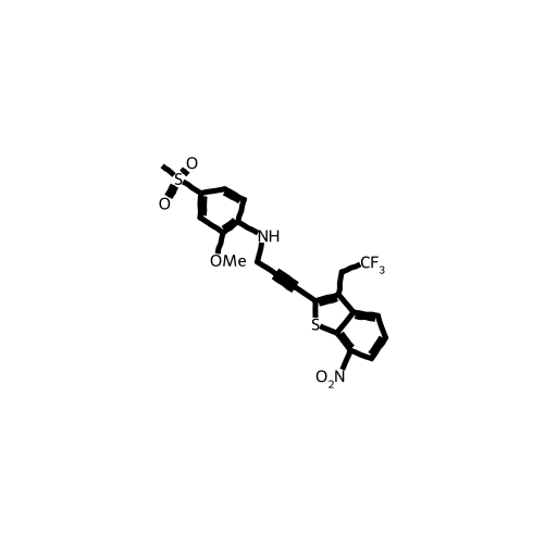 COc1cc(S(C)(=O)=O)ccc1NCC#Cc1sc2c([N+](=O)[O-])cccc2c1CC(F)(F)F